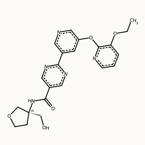 CCOc1cccnc1Oc1cncc(-c2ncc(C(=O)N[C@@]3(CO)CCOC3)cn2)c1